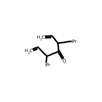 C=CC(C(=O)C(C=C)C(C)C)C(C)C